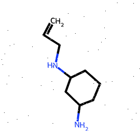 C=CCNC1CCCC(N)C1